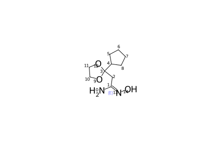 N/C(CC1(C2CCCC2)OCCO1)=N/O